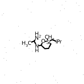 CC(C)C[Si]1(C)CCCC(NC(C)N)O1